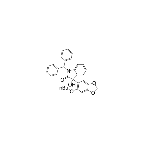 CCCCOc1cc2c(cc1C1(O)C(=O)N(C(c3ccccc3)c3ccccc3)c3ccccc31)OCO2